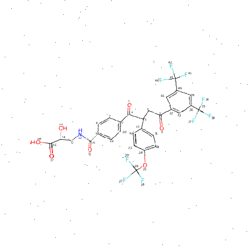 O=C(CC(C(=O)c1ccc(C(=O)NC[C@@H](O)C(=O)O)cc1)c1ccc(OC(F)(F)F)cc1)c1cc(C(F)(F)F)cc(C(F)(F)F)c1